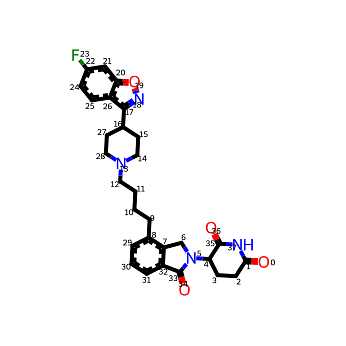 O=C1CCC(N2Cc3c(CCCCN4CCC(c5noc6cc(F)ccc56)CC4)cccc3C2=O)C(=O)N1